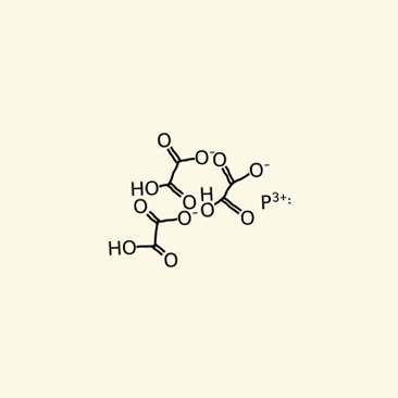 O=C([O-])C(=O)O.O=C([O-])C(=O)O.O=C([O-])C(=O)O.[P+3]